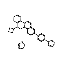 C1=CC2=C(CC1)C(C1CCC1)Cc1c2ccc2cc(-c3ccc(-c4csnn4)cc3)ccc12.C1=NCCS1